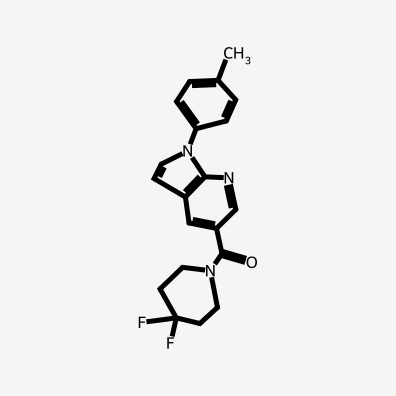 Cc1ccc(-n2ccc3cc(C(=O)N4CCC(F)(F)CC4)cnc32)cc1